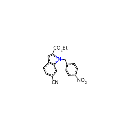 CCOC(=O)c1cc2ccc(C#N)cc2n1Cc1ccc([N+](=O)[O-])cc1